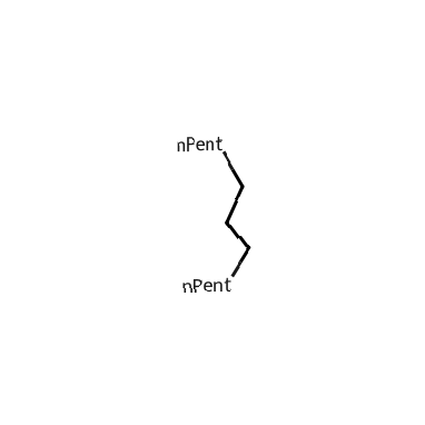 [C]CCCCCCCCCCCC